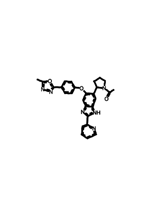 CC(=O)N1CCCC1c1cc2[nH]c(-c3ccccn3)nc2cc1Oc1ccc(-c2nnc(C)o2)cc1